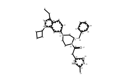 CCc1nn(C2CCC2)c2cc(N3CCN(C(=O)Cc4nnc(C)[nH]4)[C@@H](Cc4ccccc4)C3)ccc12